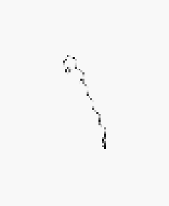 N#CCCCCCCCOCC1CCCO1